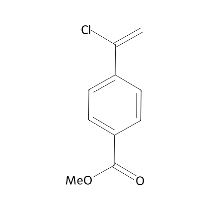 C=C(Cl)c1ccc(C(=O)OC)cc1